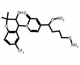 CC1(C)Oc2ccc(C(F)(F)F)cc2C(n2ccc(C(CCCO[N+](=O)[O-])O[N+](=O)[O-])cc2=O)C1O